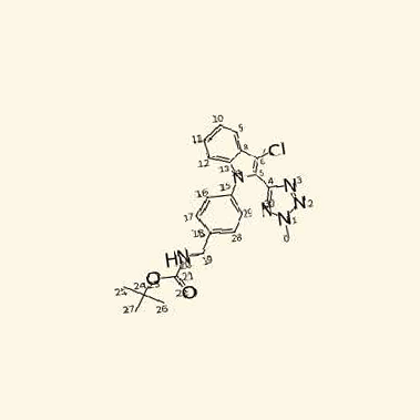 Cn1nnc(-c2c(Cl)c3ccccc3n2-c2ccc(CNC(=O)OC(C)(C)C)cc2)n1